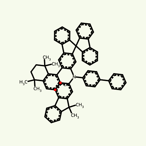 Cc1ccc2c(c1-c1cc3c(cc1N(c1ccc(-c4ccccc4)cc1)c1ccc4c(c1)C(C)(C)c1ccccc1-4)C1(c4ccccc4-c4ccccc41)c1ccccc1-3)C(C)(C)CCC2(C)C